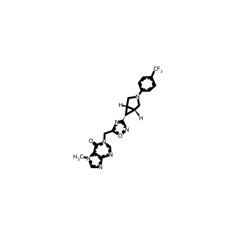 Cn1cnc2ncn(Cc3nc([C@@H]4[C@@H]5CN(c6ccc(C(F)(F)F)cc6)C[C@@H]54)no3)c(=O)c21